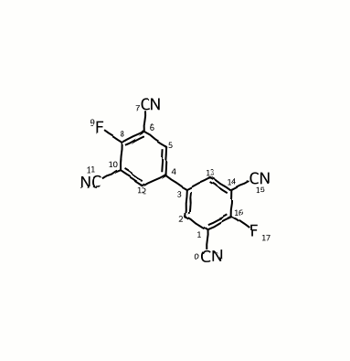 N#Cc1cc(-c2cc(C#N)c(F)c(C#N)c2)cc(C#N)c1F